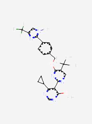 COc1ncnc(C2CC2)c1-c1ncc(C(C)(C)C)c(OCc2ccc(-c3nc(C(F)(F)F)cn3C)cc2)n1